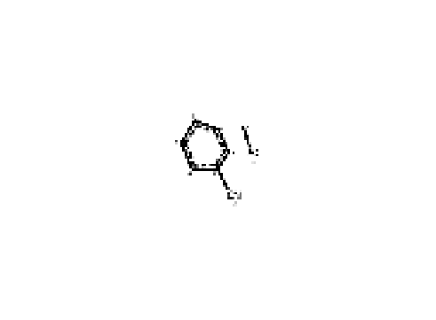 CC(C)=O.N#Cc1ccccc1